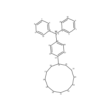 c1ccc([SH](c2ccccc2)c2ccc(C3CCCCCCCCCCC3)cc2)cc1